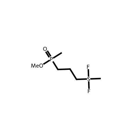 COP(C)(=O)CCCS(C)(F)F